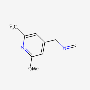 C=NCc1cc(OC)nc(C(F)(F)F)c1